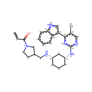 C=CC(=O)N1CCC(CN[C@H]2CCC[C@@H](Nc3ncc(CC)c(-c4c[nH]c5ccccc45)n3)C2)C1